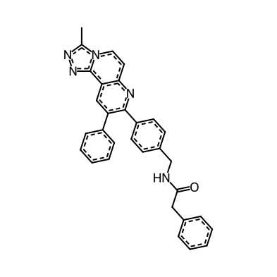 Cc1nnc2c3cc(-c4ccccc4)c(-c4ccc(CNC(=O)Cc5ccccc5)cc4)nc3ccn12